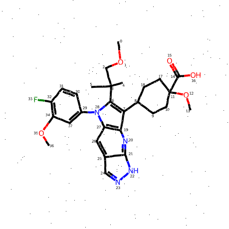 COCC(C)(C)c1c(C2CCC(OC)(C(=O)O)CC2)c2nc3[nH]ncc3cc2n1-c1ccc(F)c(OC)c1